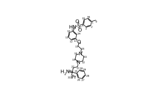 Cc1ccc(S(=O)(=O)Nc2cccc(OCCN3CCN(CCC(N)(c4ccccc4)C(C)C)CC3)c2)cc1